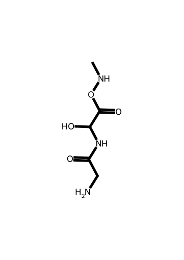 CNOC(=O)C(O)NC(=O)CN